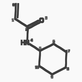 C=CC(=O)NC1C[CH]CCC1